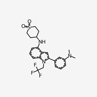 CN(C)c1cccc(-c2cc3c(NC4CCS(=O)(=O)CC4)cccc3n2CC(F)(F)F)c1